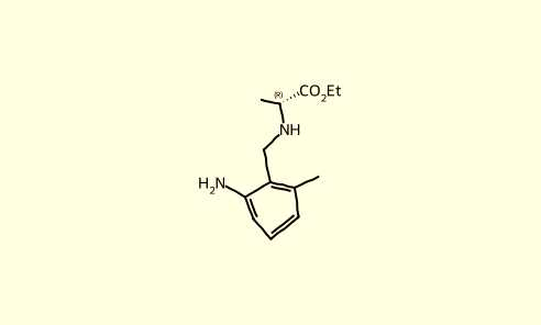 CCOC(=O)[C@@H](C)NCc1c(C)cccc1N